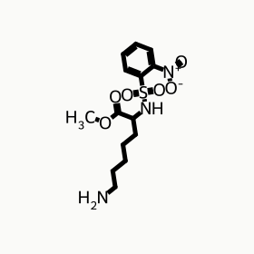 COC(=O)C(CCCCCN)NS(=O)(=O)c1ccccc1[N+](=O)[O-]